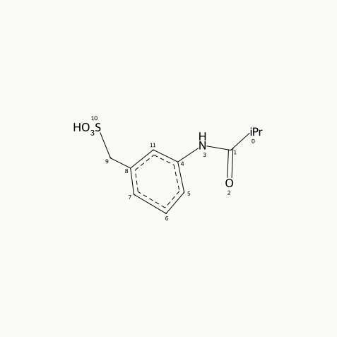 CC(C)C(=O)Nc1cccc(CS(=O)(=O)O)c1